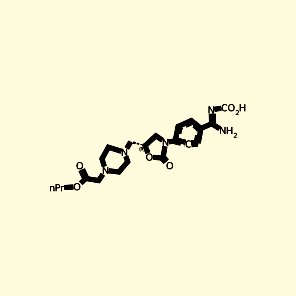 CCCOC(=O)CN1CCN(C[C@@H]2CN(c3ccc(C(N)=NC(=O)O)cc3)C(=O)O2)CC1